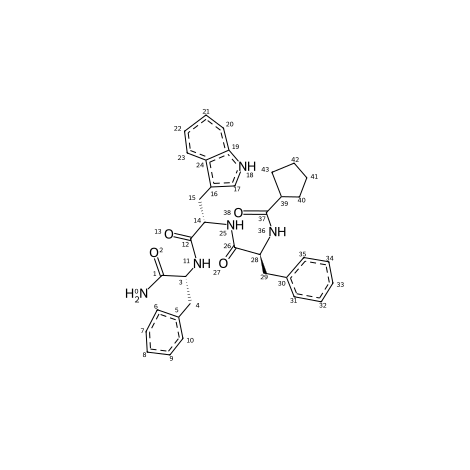 NC(=O)[C@@H](Cc1ccccc1)NC(=O)[C@H](Cc1c[nH]c2ccccc12)NC(=O)[C@H](Cc1ccccc1)NC(=O)C1CCCC1